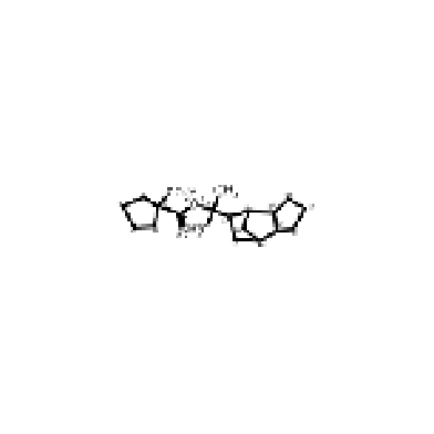 CC(C)(OC(=O)C1(C(=O)O)CCCC1)C1CC2CC1C1CCCC21